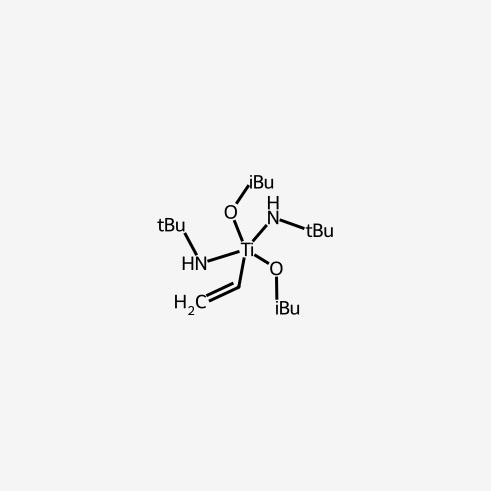 C=[CH][Ti]([NH]C(C)(C)C)([NH]C(C)(C)C)([O]C(C)CC)[O]C(C)CC